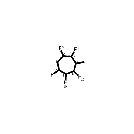 CC1C(F)C(F)CC(F)C(F)C1F